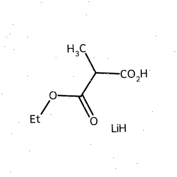 CCOC(=O)C(C)C(=O)O.[LiH]